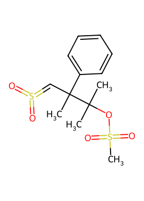 CC(C)(OS(C)(=O)=O)C(C)(C=S(=O)=O)c1ccccc1